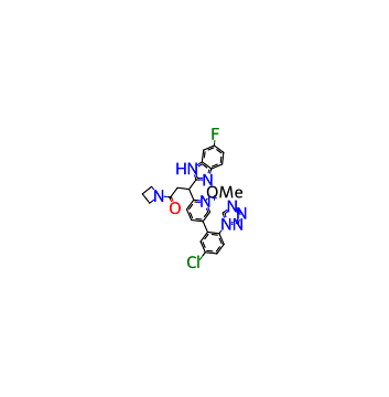 CO[n+]1cc(-c2cc(Cl)ccc2-n2cnnn2)ccc1C(CC(=O)N1CCC1)c1nc2ccc(F)cc2[nH]1